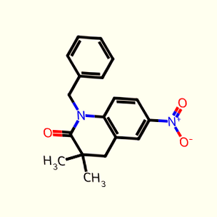 CC1(C)Cc2cc([N+](=O)[O-])ccc2N(Cc2ccccc2)C1=O